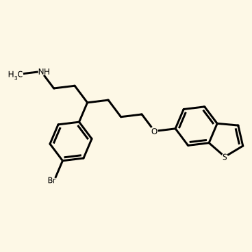 CNCCC(CCCOc1ccc2ccsc2c1)c1ccc(Br)cc1